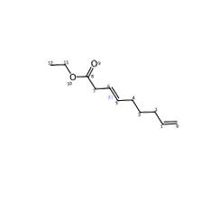 C=CCCC/C=C/CC(=O)OCC